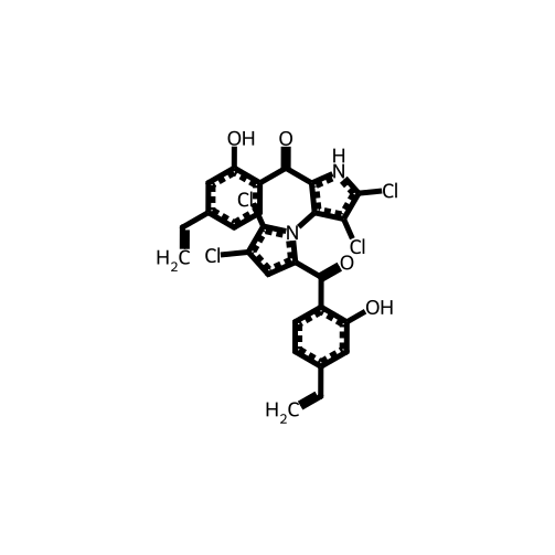 C=Cc1ccc(C(=O)c2[nH]c(Cl)c(Cl)c2-n2c(C(=O)c3ccc(C=C)cc3O)cc(Cl)c2Cl)c(O)c1